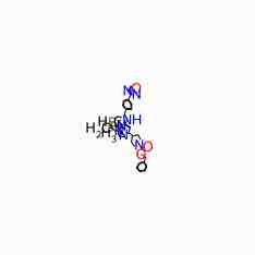 C=C(Br)/C=N\N(C)/C(=C\C(=N/C)C1CCN(C(=O)OCc2ccccc2)CC1)NCc1ccc(-c2ncon2)cc1